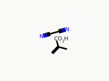 C=C(C)C(=O)O.N#CC#N